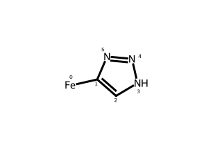 [Fe][c]1c[nH]nn1